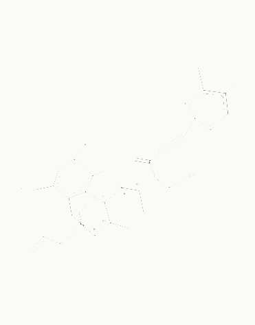 C=CCN1CC[C@]23c4c5c(OC(C)=O)cc(O)c4O[C@H]2[C@H](N(CC(C)C)C(=O)C#Cc2ccc(C)c(C)c2)CC[C@H]3[C@H]1C5